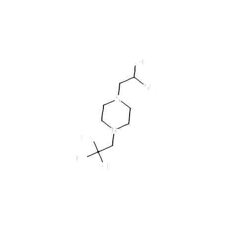 CC(N)CN1CCN(CC(C)(C)C)CC1